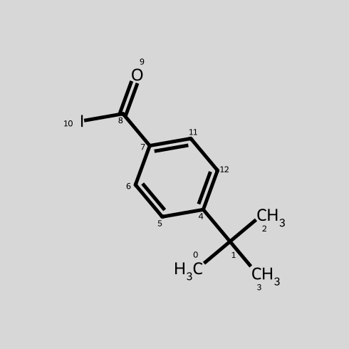 CC(C)(C)c1ccc(C(=O)I)cc1